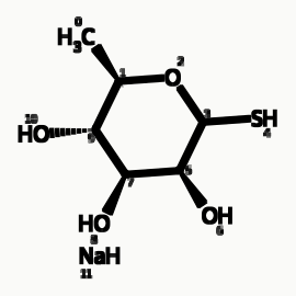 C[C@H]1OC(S)[C@@H](O)[C@@H](O)[C@@H]1O.[NaH]